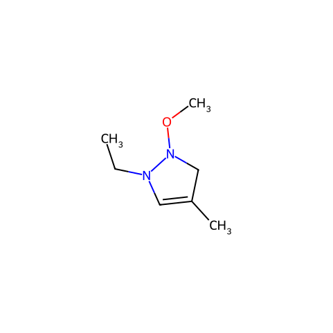 CCN1C=C(C)CN1OC